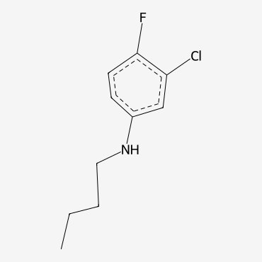 CCCCNc1ccc(F)c(Cl)c1